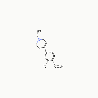 CCc1cc(C2=CCN(CC(C)C)CC2)ccc1C(=O)O